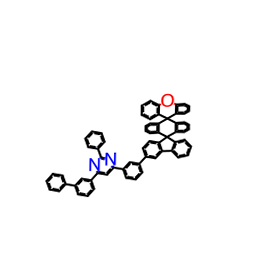 c1ccc(-c2cccc(-c3cc(-c4cccc(-c5ccc6c(c5)-c5ccccc5C65c6ccccc6C6(c7ccccc7Oc7ccccc76)c6ccccc65)c4)nc(-c4ccccc4)n3)c2)cc1